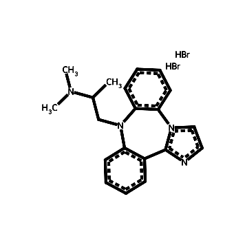 Br.Br.CC(CN1c2ccccc2-c2nccn2-c2ccccc21)N(C)C